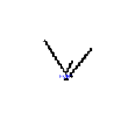 CCCCCCCCCCCCCCCCCC(CCCCCC)c1[nH]cc[n+]1C(C)CCCCCCCCCCCCCCC